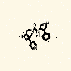 O=C(NC1CNCC1c1ccccc1)N1CCc2[nH]nc(-c3ccncc3)c2C1